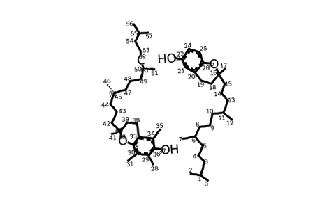 CC(C)CCCC(C)CCCC(C)CCCC1(C)CCc2cc(O)ccc2O1.Cc1c(C)c2c(c(C)c1O)CC[C@@](C)(CCC[C@H](C)CCC[C@H](C)CCCC(C)C)O2